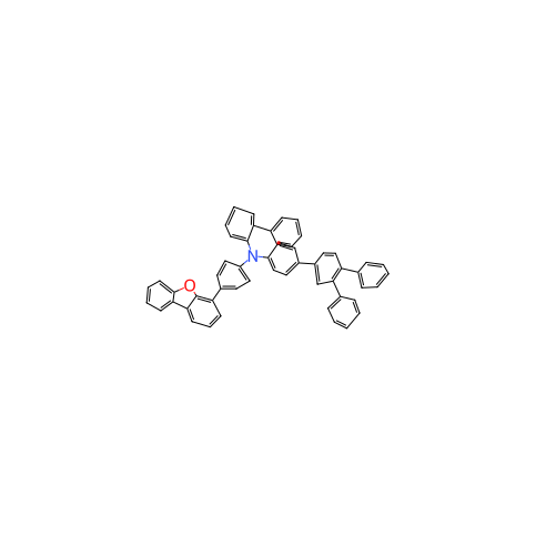 c1ccc(-c2ccc(-c3ccc(N(c4ccc(-c5cccc6c5oc5ccccc56)cc4)c4ccccc4-c4ccccc4)cc3)cc2-c2ccccc2)cc1